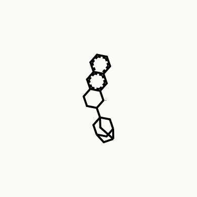 [CH]1c2cc3ccccc3cc2CCC1C12CC3CC(C1)C(C3)C2